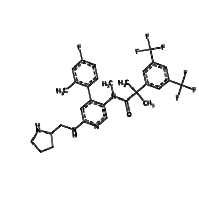 Cc1cc(F)ccc1-c1cc(NCC2CCCN2)ncc1N(C)C(=O)C(C)(C)c1cc(C(F)(F)F)cc(C(F)(F)F)c1